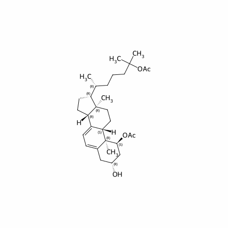 CC(=O)O[C@H]1C[C@H](O)CC2=CC=C3[C@@H]4CC[C@H]([C@H](C)CCCC(C)(C)OC(C)=O)[C@@]4(C)CC[C@@H]3[C@]21C